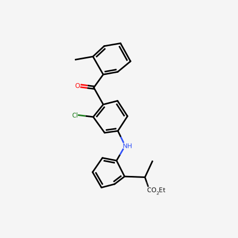 CCOC(=O)C(C)c1ccccc1Nc1ccc(C(=O)c2ccccc2C)c(Cl)c1